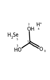 O=C(O)O.[H+].[SeH2]